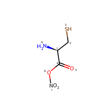 N[C@@H](CS)C(=O)O[N+](=O)[O-]